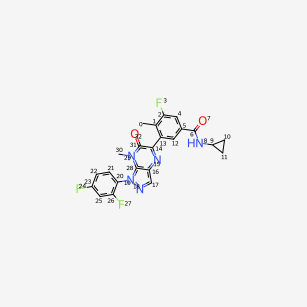 Cc1c(F)cc(C(=O)NC2CC2)cc1-c1nc2cnn(-c3ccc(F)cc3F)c2n(C)c1=O